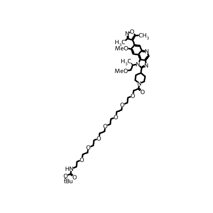 COC[C@@H](C)n1c(C2CCN(C(=O)COCCOCCOCCOCCOCCOCCOCCNC(=O)OC(C)(C)C)CC2)nc2cnc3cc(-c4c(C)noc4C)c(OC)cc3c21